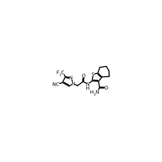 N#Cc1cn(CC(=O)Nc2sc3c(c2C(N)=O)CCCC3)nc1C(F)(F)F